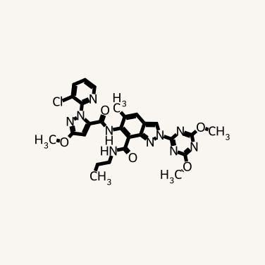 CCCNC(=O)c1c(NC(=O)c2cc(OC)nn2-c2ncccc2Cl)c(C)cc2cn(-c3nc(OC)nc(OC)n3)nc12